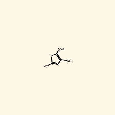 CSc1sc(C#N)cc1[N+](=O)[O-]